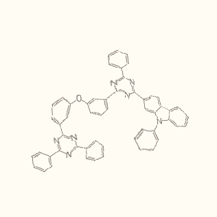 c1ccc(-c2nc(-c3ccccc3)nc(-c3cccc(Oc4cccc(-c5nc(-c6ccccc6)nc(-c6ccc7c8ccccc8n(-c8ccccc8)c7c6)n5)c4)c3)n2)cc1